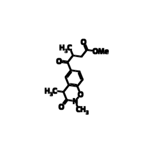 COC(=O)CC(C)C(=O)c1ccc2c(c1)C(C)C(=O)N(C)O2